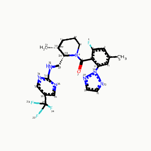 Cc1cc(F)c(C(=O)N2CCC[C@@H](C)[C@H]2CNc2ncc(C(F)(F)F)cn2)c(-n2nccn2)c1